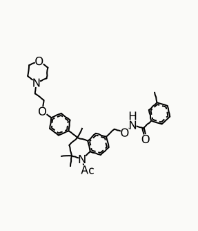 CC(=O)N1c2ccc(CONC(=O)c3cccc(C)c3)cc2C(C)(c2ccc(OCCN3CCOCC3)cc2)CC1(C)C